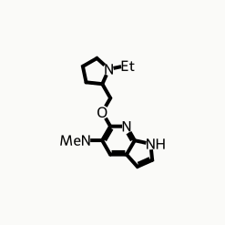 CCN1CCCC1COc1nc2[nH]ccc2cc1NC